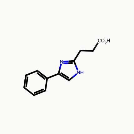 O=C(O)CCc1nc(-c2ccccc2)c[nH]1